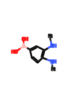 CCNc1ccc(B(O)O)cc1NCC